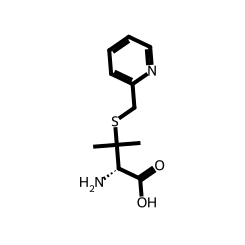 CC(C)(SCc1ccccn1)[C@@H](N)C(=O)O